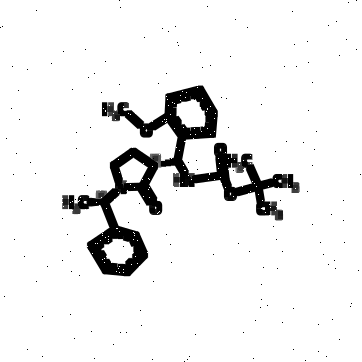 COc1ccccc1C(NC(=O)OC(C)(C)C)[C@H]1CCN([C@H](C)c2ccccc2)C1=O